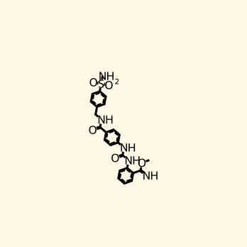 COC(=N)c1ccccc1NC(=O)Nc1ccc(C(=O)NCc2ccc(S(N)(=O)=O)cc2)cc1